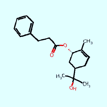 CC1=CCC(C(C)(C)O)C[C@@H]1OC(=O)CCc1ccccc1